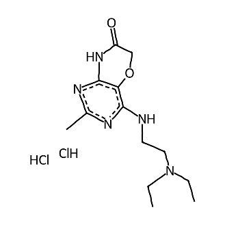 CCN(CC)CCNc1nc(C)nc2c1OCC(=O)N2.Cl.Cl